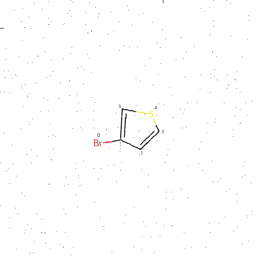 Brc1[c]csc1